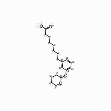 O=C(O)CCCCCCCc1cccc(OC2CCCCO2)c1